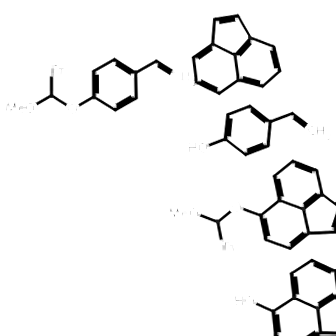 C1=Cc2cccc3cccc1c23.C=Cc1ccc(O)cc1.C=Cc1ccc(OC(OC)C(C)C)cc1.COC(Oc1ccc2c3c(cccc13)C=C2)C(C)C.Oc1ccc2c3c(cccc13)C=C2